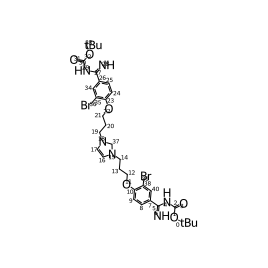 CC(C)(C)OC(=O)NC(=N)c1ccc(OCCCN2C=CN(CCCOc3ccc(C(=N)NC(=O)OC(C)(C)C)cc3Br)C2)c(Br)c1